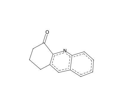 O=C1CCCc2cc3ccccc3nc21